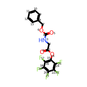 O=C(CNC(=O)OCc1ccccc1)Oc1c(F)c(F)c(F)c(F)c1F